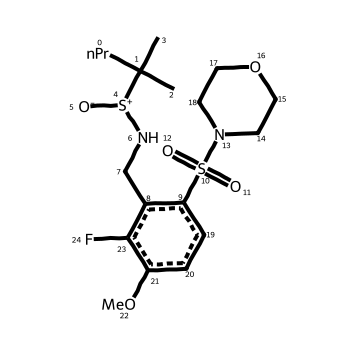 CCCC(C)(C)[S+]([O-])NCc1c(S(=O)(=O)N2CCOCC2)ccc(OC)c1F